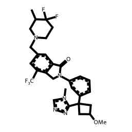 COC1CC(c2cccc(N3Cc4c(cc(CN5CCC(F)(F)C(C)C5)cc4C(F)(F)F)C3=O)c2)(c2nncn2C)C1